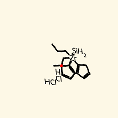 CC[CH2][Zr](=[SiH2])([CH2]CC)([C]1=CC=CC1)[C]1=CC=CC1.Cl.Cl